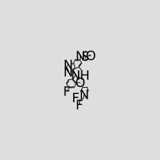 Cc1cc(N=S(C)(C)=O)cc2ncnc(Nc3ccc(F)cc3O[C@@H]3CCN(CC(F)F)C3)c12